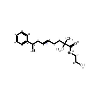 CCC(C/C=C/CCC(C)(C)C(=O)NCCO)c1ccccc1